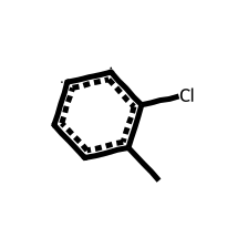 Cc1cc[c][c]c1Cl